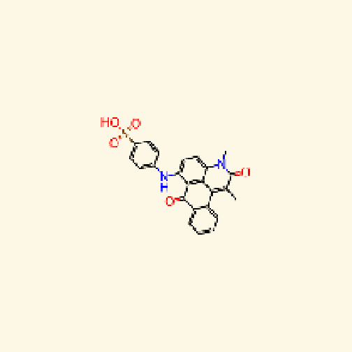 Cc1c2c3c(c(Nc4ccc(S(=O)(=O)O)cc4)ccc3n(C)c1=O)C(=O)c1ccccc1-2